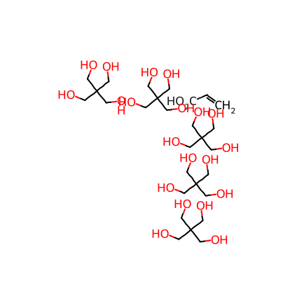 C=CC(=O)O.OCC(CO)(CO)CO.OCC(CO)(CO)CO.OCC(CO)(CO)CO.OCC(CO)(CO)CO.OCC(CO)(CO)CO